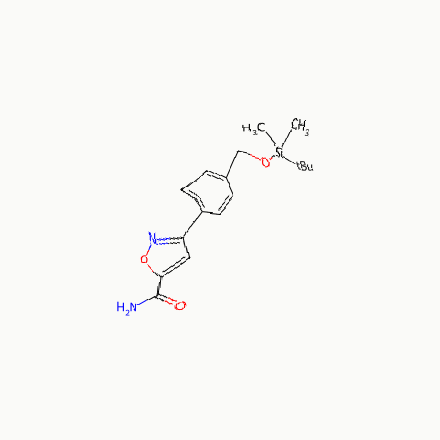 CC(C)(C)[Si](C)(C)OCc1ccc(-c2cc(C(N)=O)on2)cc1